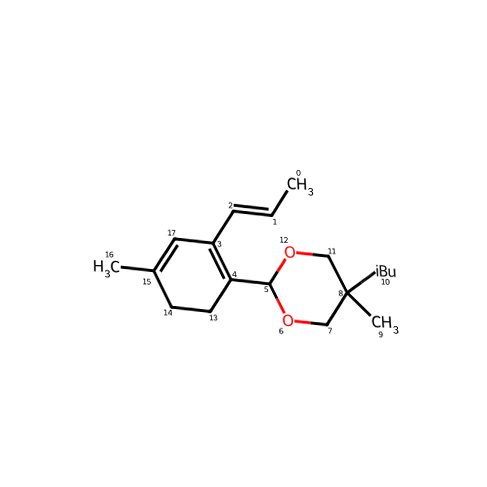 CC=CC1=C(C2OCC(C)(C(C)CC)CO2)CCC(C)=C1